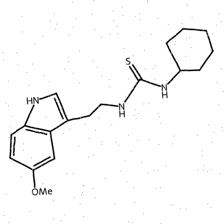 COc1ccc2[nH]cc(CCNC(=S)NC3CCCCC3)c2c1